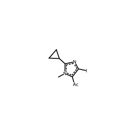 CC(=O)c1c(I)nc(C2CC2)n1C